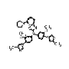 COc1cc(N(c2ccc(-n3cnc(C)c3)c(OC)c2)c2nc3cccc(N4CCCC4)n3n2)ccc1-n1cnc(C)c1